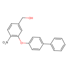 O=[N+]([O-])c1ccc(CO)cc1Oc1ccc(-c2ccccc2)cc1